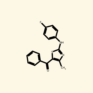 Cc1nc(Nc2ccc(F)cc2)sc1C(=O)c1ccccc1